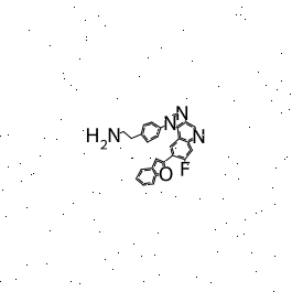 NCCc1ccc(-n2cnc3cnc4cc(F)c(-c5cc6ccccc6o5)cc4c32)cc1